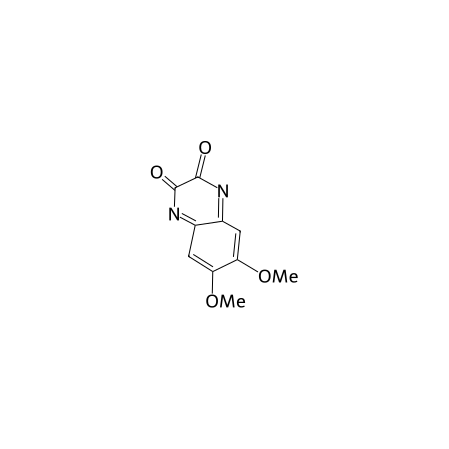 COc1cc2c(cc1OC)=NC(=O)C(=O)N=2